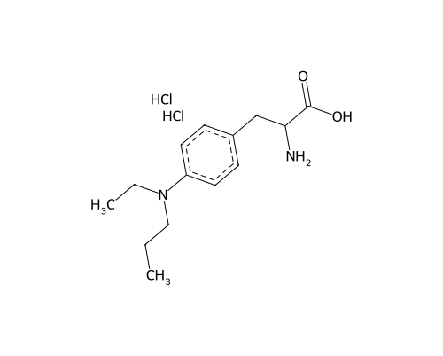 CCCN(CC)c1ccc(CC(N)C(=O)O)cc1.Cl.Cl